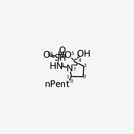 CCCCCC1CCS(O)(O)N1N[SH](=O)=O